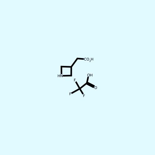 O=C(O)C(F)(F)F.O=C(O)CC1CNC1